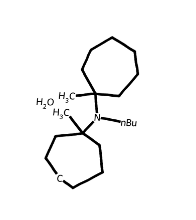 CCCCN(C1(C)CCCCCC1)C1(C)CCCCCC1.O